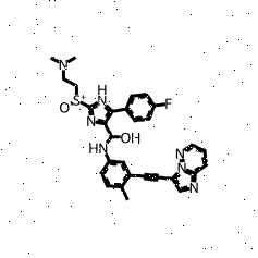 Cc1ccc(NC(O)c2nc([S+]([O-])CCN(C)C)[nH]c2-c2ccc(F)cc2)cc1C#Cc1cnc2cccnn12